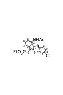 CCOC(=O)Cn1c(C)c(Sc2ccc(Cl)cc2)c2c(NC(C)=O)cccc21